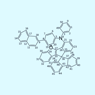 c1ccc(N(c2ccc(-c3ccc4ccccc4c3)cc2)c2cccc3c2-c2oc4ccccc4c2C32c3ccccc3-c3ccccc32)cc1